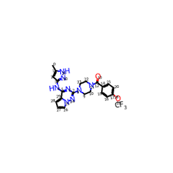 Cc1cc(Nc2nc(N3CCN(C(=O)c4ccc(OC(F)(F)F)cc4)CC3)nn3cccc23)n[nH]1